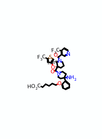 CCC[C@H]1N(C(=O)c2cnccc2C(F)(F)F)CCC[C@@]1(Oc1csc(C(F)(F)F)c1)C(=O)N1CCC(N)(c2ccccc2OCCCCCC(=O)O)CC1